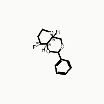 F[C@@H]1CCO[C@@H]2COC(c3ccccc3)O[C@@H]12